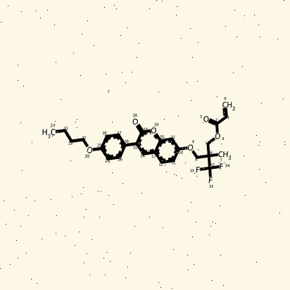 C=CC(=O)OCC(C)(COc1ccc2cc(-c3ccc(OCCCC)cc3)c(=O)oc2c1)C(F)(F)F